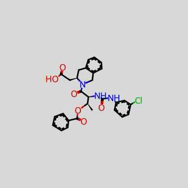 C[C@@H](OC(=O)c1ccccc1)[C@H](NC(=O)Nc1cccc(Cl)c1)C(=O)N1Cc2ccccc2C[C@@H]1CC(=O)O